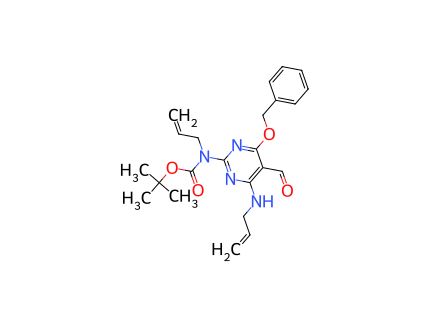 C=CCNc1nc(N(CC=C)C(=O)OC(C)(C)C)nc(OCc2ccccc2)c1C=O